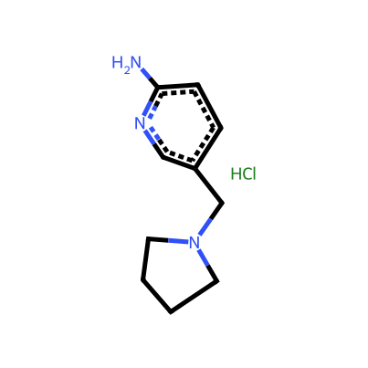 Cl.Nc1ccc(CN2CCCC2)cn1